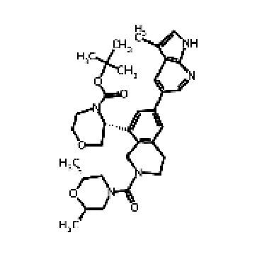 Cc1c[nH]c2ncc(-c3cc4c(c([C@@H]5COCCN5C(=O)OC(C)(C)C)c3)CN(C(=O)N3C[C@@H](C)O[C@H](C)C3)CC4)cc12